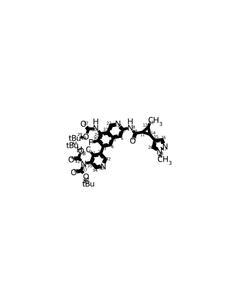 Cc1c(-c2cc3cc(NC(=O)C4C(C)C4c4cnn(C)c4)ncc3c(NC(=O)OC(C)(C)C)c2F)cncc1N(C(=O)OC(C)(C)C)C(=O)OC(C)(C)C